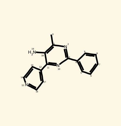 Cc1nc(-c2ccccc2)nc(-c2ccncc2)c1N